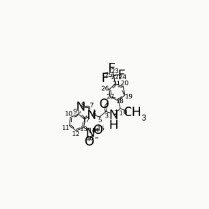 CC(NC(=O)Cn1cnc2cccc([N+](=O)[O-])c21)c1ccc(C(F)(F)F)cc1